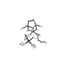 CCNC(C)N1[C@@H]2CC[C@H]1C[C@@H](CC(C)(C)C)C2